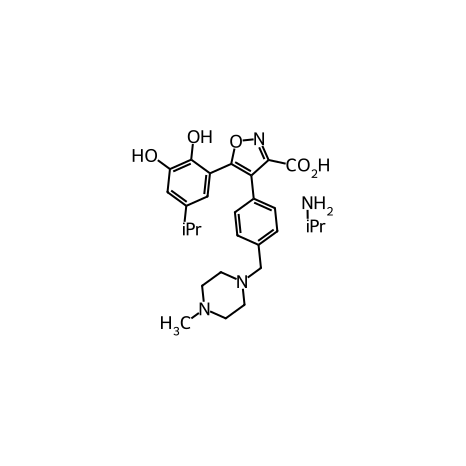 CC(C)N.CC(C)c1cc(O)c(O)c(-c2onc(C(=O)O)c2-c2ccc(CN3CCN(C)CC3)cc2)c1